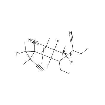 C#CC1(C)C(C)(F)C1(F)C(C)(C)C(F)(C(CC)C(F)(F)C(C#N)CC)C(F)(C(C)(C)F)C(C)(C)C#N